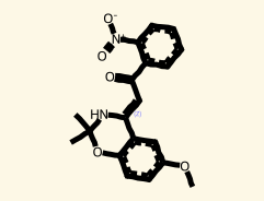 COc1ccc2c(c1)/C(=C/C(=O)c1ccccc1[N+](=O)[O-])NC(C)(C)O2